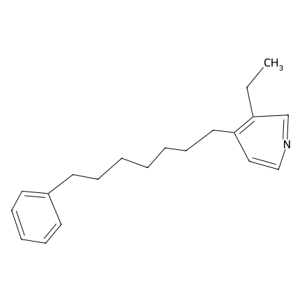 CCc1cnccc1CCCCCCCc1ccccc1